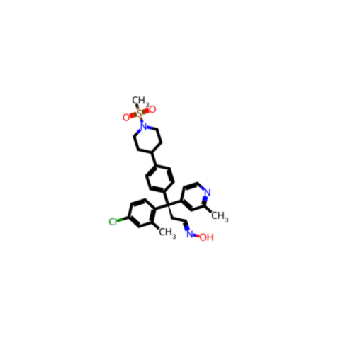 Cc1cc([C@@](C/C=N/O)(c2ccc(C3CCN(S(C)(=O)=O)CC3)cc2)c2ccc(Cl)cc2C)ccn1